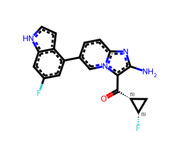 Nc1nc2ccc(-c3cc(F)cc4[nH]ccc34)cn2c1C(=O)[C@@H]1C[C@@H]1F